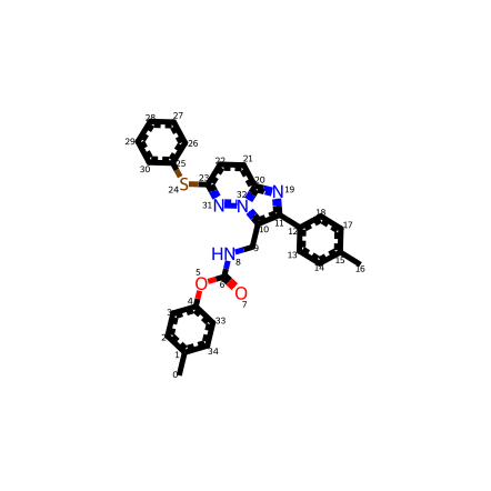 Cc1ccc(OC(=O)NCc2c(-c3ccc(C)cc3)nc3ccc(Sc4ccccc4)nn23)cc1